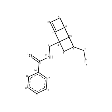 O=C(NCC12CC3(CF)C4C=C1C4C23)c1ccccc1